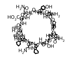 CCCC[C@H]1C(=O)N(C)[C@@H](CCCC)C(=O)N[C@@H](CCC(=O)O)C(=O)N[C@H](C(=O)NCC(N)=O)CSCC(=O)N[C@@H](Cc2ccc(O)cc2)C(=O)N[C@H](C)C(=O)N[C@@H](CC(N)=O)C(=O)N2CCC[C@H]2C(=O)N[C@@H](Cc2cnc[nH]2)C(=O)N[C@@H](CCC(N)=O)C(=O)N2C[C@H](O)C[C@H]2C(=O)N[C@@H](Cc2c[nH]c3ccccc23)C(=O)N[C@@H](CCCCN)C(=O)N[C@@H](Cc2c[nH]c3ccccc23)C(=O)N1C